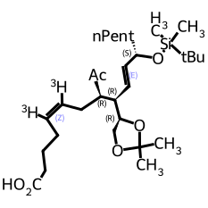 [3H]/C(CCCC(=O)O)=C(\[3H])C[C@@H](C(C)=O)[C@@H](/C=C/[C@H](CCCCC)O[Si](C)(C)C(C)(C)C)[C@@H]1COC(C)(C)O1